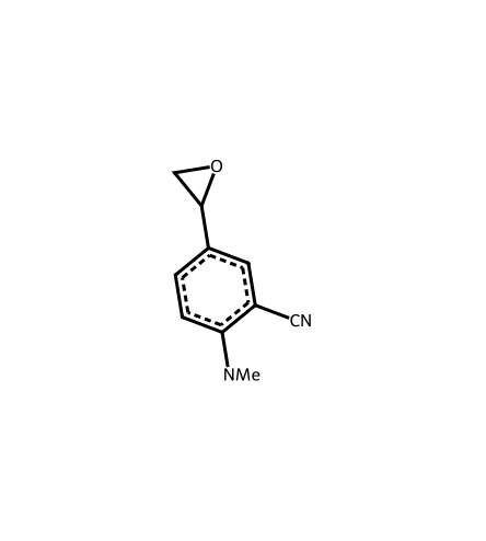 CNc1ccc(C2CO2)cc1C#N